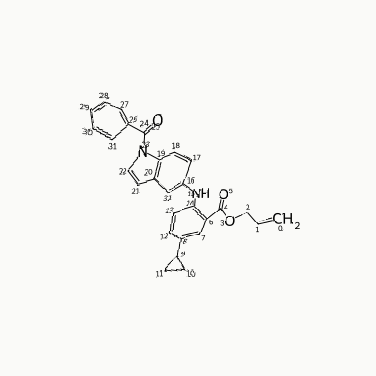 C=CCOC(=O)c1cc(C2CC2)ccc1Nc1ccc2c(ccn2C(=O)c2ccccc2)c1